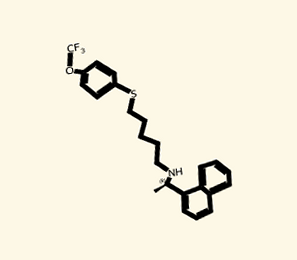 C[C@@H](NCCCCCSc1ccc(OC(F)(F)F)cc1)c1cccc2ccccc12